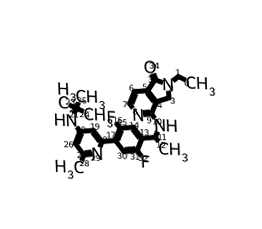 CCN1Cc2c(ccnc2NC(C)c2cc(F)c(-c3cc(NC(C)(C)C)cc(C)n3)cc2F)C1=O